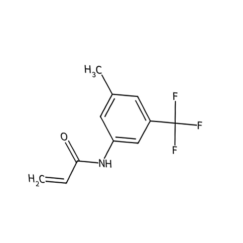 C=CC(=O)Nc1cc(C)cc(C(F)(F)F)c1